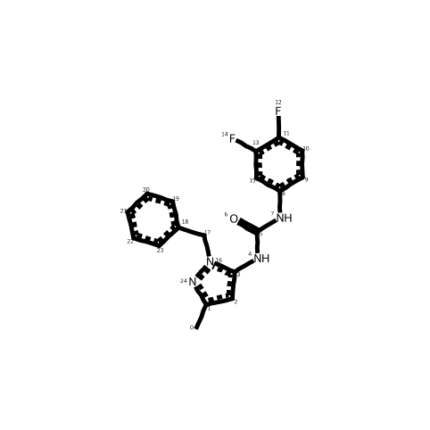 Cc1cc(NC(=O)Nc2ccc(F)c(F)c2)n(Cc2ccccc2)n1